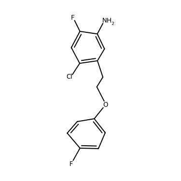 Nc1cc(CCOc2ccc(F)cc2)c(Cl)cc1F